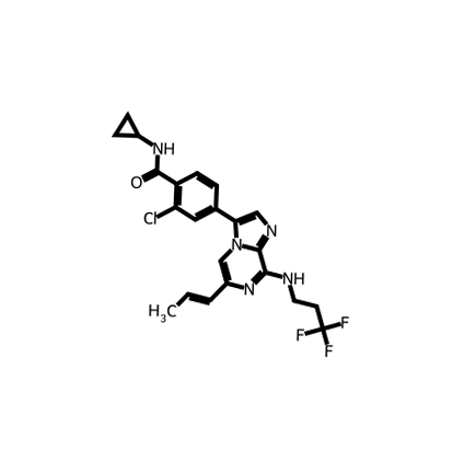 CC=Cc1cn2c(-c3ccc(C(=O)NC4CC4)c(Cl)c3)cnc2c(NCCC(F)(F)F)n1